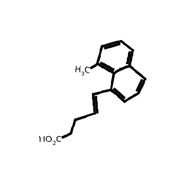 Cc1cccc2cccc(/C=C/CCC(=O)O)c12